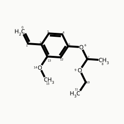 C=Cc1ccc(OC(C)OCC)cc1OC